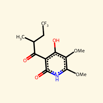 COc1[nH]c(=O)c(C(=O)C(C)CC(F)(F)F)c(O)c1OC